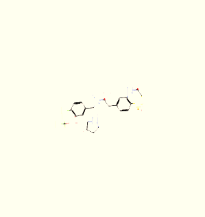 CN(C(=O)Cc1ccc2c(c1)NC(=O)CS2(=O)=O)[C@H](CN1CC[C@H](O)C1)c1ccc(F)c(OC(F)(F)F)c1